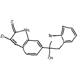 CCc1cc2ccc(C(C)(C#N)Cc3ccccc3Br)cc2[nH]c1=O